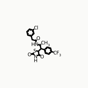 C[C@H](NC(=O)Cc1cccc(Cl)c1)C(c1ccc(C(F)(F)F)cc1)C1SC(=O)NC1=O